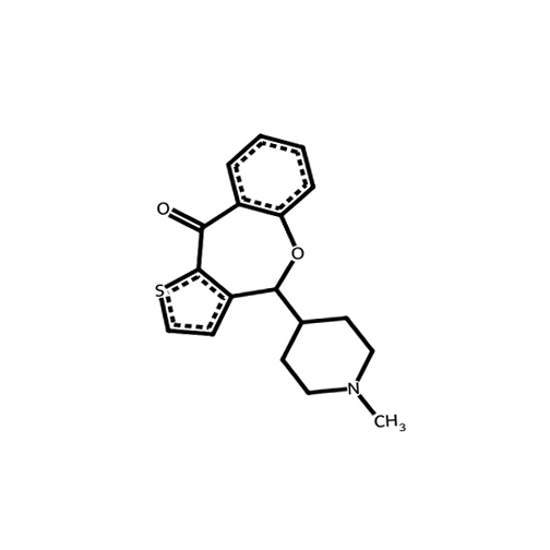 CN1CCC(C2Oc3ccccc3C(=O)c3sccc32)CC1